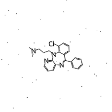 CN(C)CCCN1c2ncccc2N=C(c2ccccc2)c2cccc(Cl)c21